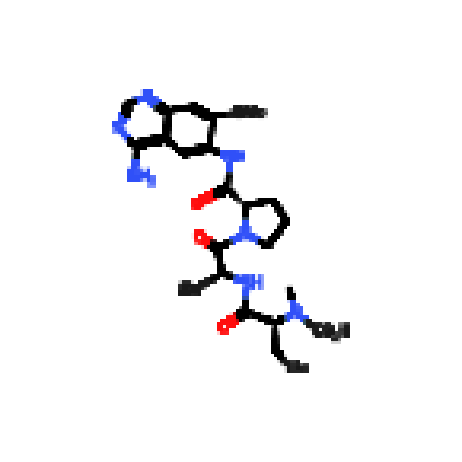 COc1cc2ncnc(N)c2cc1NC(=O)[C@@H]1CCCN1C(=O)[C@@H](NC(=O)[C@H](CC(C)(C)C)N(C)C(=O)O)C(C)(C)C